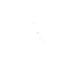 CCCCCCCC=CC=CC(=O)N1CCCC1